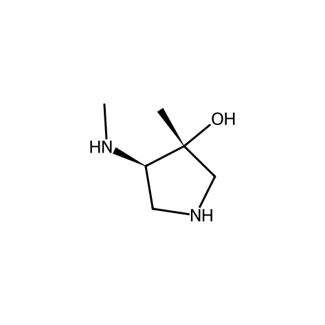 CN[C@@H]1CNC[C@@]1(C)O